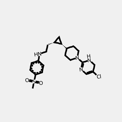 CS(=O)(=O)c1ccc(NCC[C@@H]2C[C@@H]2C2CCN(C3=NC=C(Cl)CN3)CC2)cc1